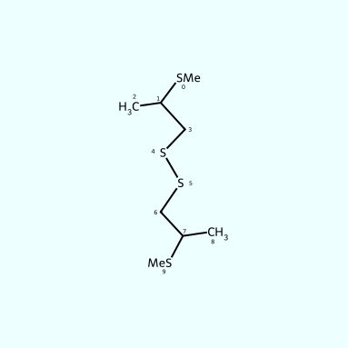 CSC(C)CSSCC(C)SC